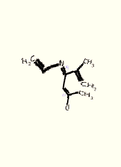 C=C/N=C(\C=C(/C)Cl)C(=C)C